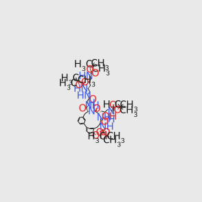 CC(C)(C)OC(=O)NCCC[C@@H](CNC(=O)CNC(=O)[C@@H]1Cc2cccc(c2)-c2ccc(O)c(c2)C[C@H](NC(=O)OC(C)(C)C)C(=O)N[C@@H](C[C@@H](O)CNC(=O)OC(C)(C)C)C(=O)N1)NC(=O)OC(C)(C)C